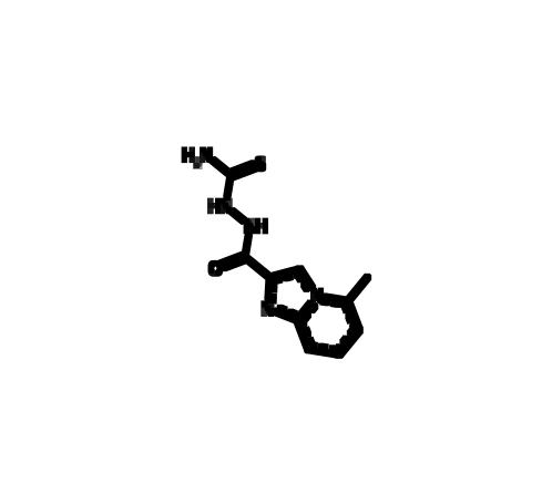 Cc1cccc2nc(C(=O)NNC(N)=S)cn12